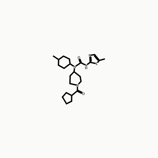 Cc1cnc(NC(=O)N(C2CCC(C)CC2)C2CCN(C(=O)C3CCCC3)CC2)s1